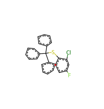 Fc1ccc(SC(c2ccccc2)(c2ccccc2)c2ccccc2)c(Cl)c1